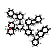 c1ccc(-c2nc(-c3ccc(-n4c5ccccc5c5cc6ccccc6cc54)cc3-c3cccc4c3oc3ccccc34)nc(-c3cccc4c5ccccc5n(-c5ccccc5)c34)n2)cc1